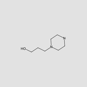 OCCCN1CC[N]CC1